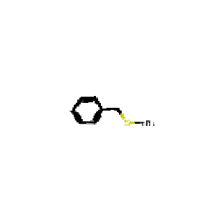 CCCCSCc1cc[c]cc1